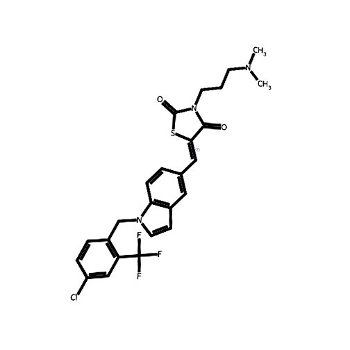 CN(C)CCCN1C(=O)S/C(=C\c2ccc3c(ccn3Cc3ccc(Cl)cc3C(F)(F)F)c2)C1=O